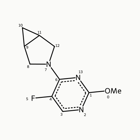 COc1ncc(F)c(N2CC3CC3C2)n1